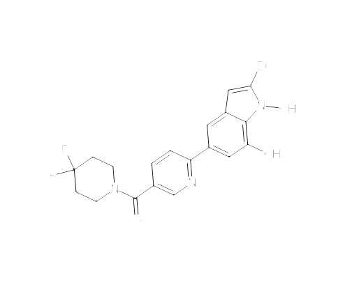 CCc1cc2cc(-c3ccc(C(=O)N4CCC(F)(F)CC4)cn3)cc(C)c2n1C